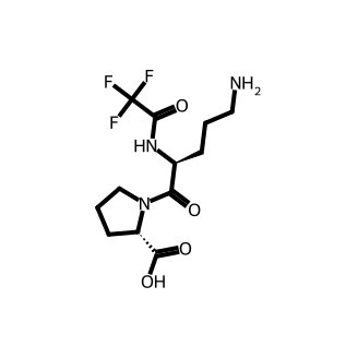 NCCC[C@H](NC(=O)C(F)(F)F)C(=O)N1CCC[C@H]1C(=O)O